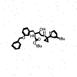 CC(C)(C)OC(=O)N[C@@H](Cc1cccc(OCc2ccccc2)c1)[C@@H](O)CNC1(c2cc(C(C)(C)C)ccn2)CC1